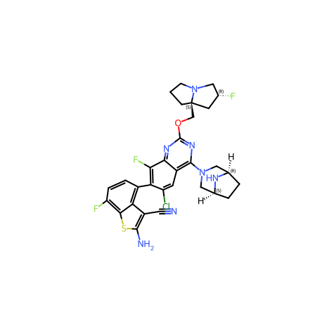 N#Cc1c(N)sc2c(F)ccc(-c3c(Cl)cc4c(N5C[C@H]6CC[C@@H](C5)N6)nc(OC[C@@]56CCCN5C[C@H](F)C6)nc4c3F)c12